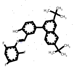 CC(C)(C)c1ccc2c(-c3ccc(O)c(/C=N/c4c(F)cc(F)cc4F)c3)cc(C(C)(C)C)cc2c1